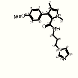 COc1ccc(-c2c(C)cn(C)c2C(=O)NCCCn2ccnc2)cc1